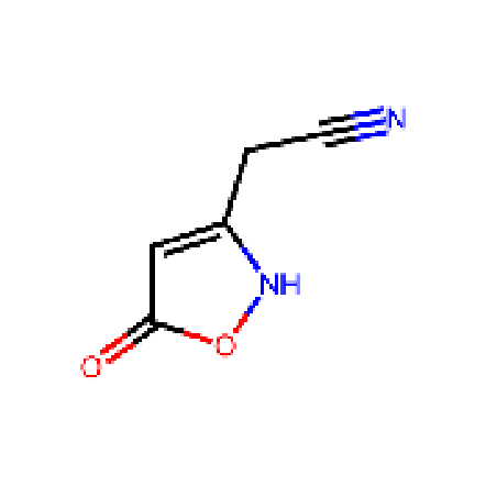 N#CCc1cc(=O)o[nH]1